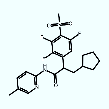 Cc1ccc(NC(=O)C(CC2CCCC2)c2cc(F)c(S(C)(=O)=O)c(F)c2F)nc1